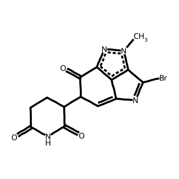 Cn1nc2c3c1C(Br)=NC3=CC(C1CCC(=O)NC1=O)C2=O